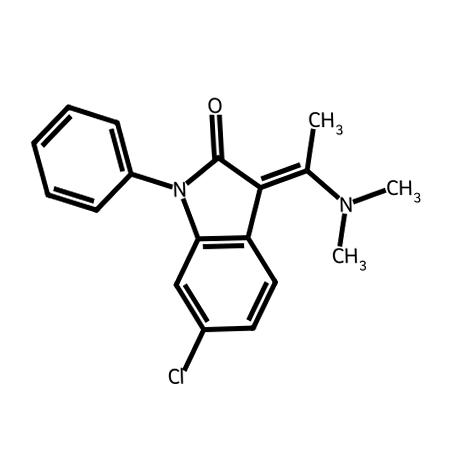 CC(=C1C(=O)N(c2ccccc2)c2cc(Cl)ccc21)N(C)C